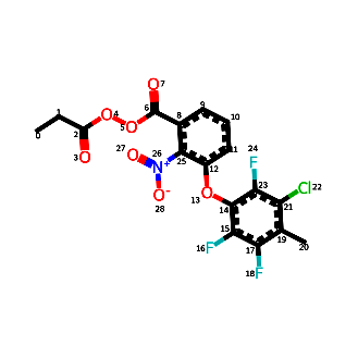 CCC(=O)OOC(=O)c1cccc(Oc2c(F)c(F)c(C)c(Cl)c2F)c1[N+](=O)[O-]